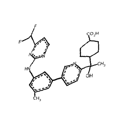 Cc1cc(Nc2nccc(C(F)F)n2)cc(-c2ccc(C(C)(O)C3CCC(C(=O)O)CC3)nc2)c1